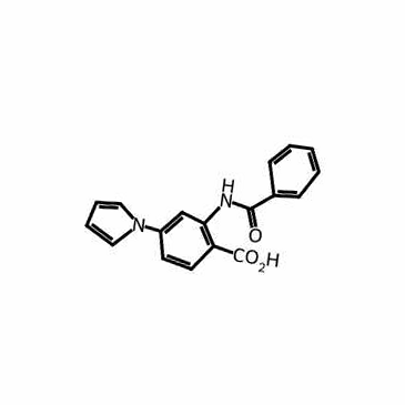 O=C(Nc1cc(-n2cccc2)ccc1C(=O)O)c1ccccc1